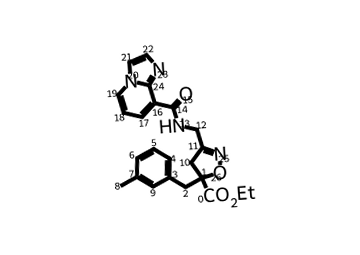 CCOC(=O)C1(Cc2cccc(C)c2)CC(CNC(=O)c2cccn3ccnc23)=NO1